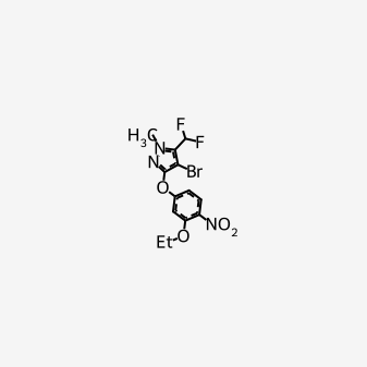 [CH2]COc1cc(Oc2nn(C)c(C(F)F)c2Br)ccc1[N+](=O)[O-]